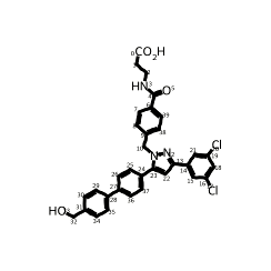 O=C(O)CCNC(=O)c1ccc(Cn2nc(-c3cc(Cl)cc(Cl)c3)cc2-c2ccc(-c3ccc(CO)cc3)cc2)cc1